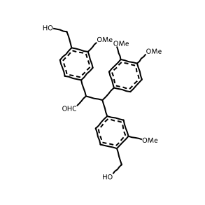 COc1cc(C(C=O)C(c2ccc(CO)c(OC)c2)c2ccc(OC)c(OC)c2)ccc1CO